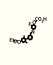 CCOCOc1cc(C)c(-c2cccc(C=Nc3ccc(OCC(=O)O)c(F)c3)c2)c(C)c1